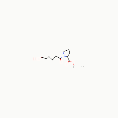 CCCCCCOC(=O)C1CCCN1C(=O)CCCCCO